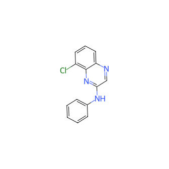 Clc1cccc2ncc(Nc3ccccc3)nc12